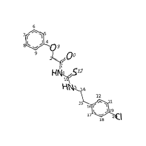 O=C(COc1ccccc1)NC(=S)NCCc1ccc(Cl)cc1